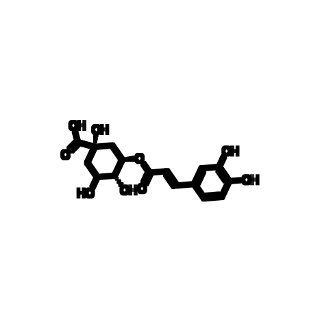 O=C(C=Cc1ccc(O)c(O)c1)O[C@@H]1C[C@](O)(C(=O)O)CC(O)[C@H]1O